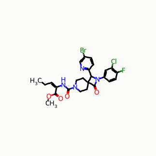 CC/C=C(/NC(=O)N1CCC2(CC1)C(=O)N(c1ccc(F)c(Cl)c1)C2c1ccc(Br)cn1)C(=O)OC